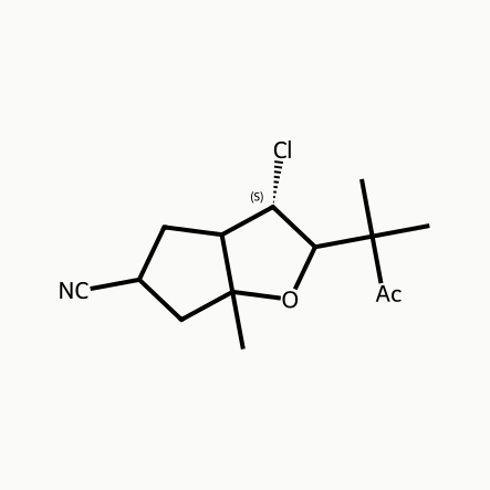 CC(=O)C(C)(C)C1OC2(C)CC(C#N)CC2[C@@H]1Cl